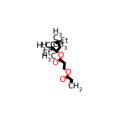 C=CC(=O)OCCC(=O)OC(C)(CC(C)(C)CC)C(C)(C)CC